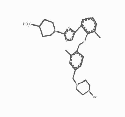 CC(=O)N1CCN(Cc2ccc(COc3c(C)cccc3-c3csc(N4CCC(C(=O)O)CC4)n3)c(C)c2)CC1